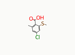 CSc1cc(Cl)cc(C)c1C(=O)O